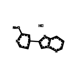 COc1cc(-c2cn3ncccc3n2)ccn1.Cl